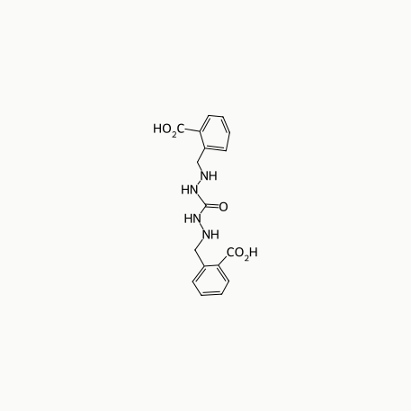 O=C(NNCc1ccccc1C(=O)O)NNCc1ccccc1C(=O)O